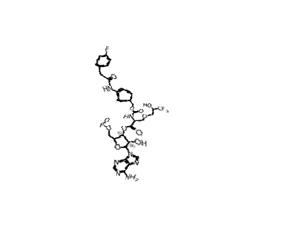 Nc1ncnc2c1ncn2C1OC(COP=O)[C@@H](OC(=O)C(COCC(O)C(F)(F)F)NC(=O)OCc2ccc(NC(=O)Cc3ccc(F)cc3)cc2)[C@H]1O